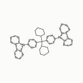 c1ccc2c(c1)c1ccccc1n2-c1ccc(C(c2ccc(-n3c4ccccc4c4ccccc43)cc2)(C2CCCCC2)C2CCCCC2)cc1